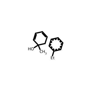 CC1(O)C=CC=CC1.CCc1ccccc1